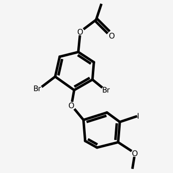 COc1ccc(Oc2c(Br)cc(OC(C)=O)cc2Br)cc1I